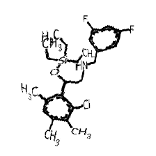 CC[Si](CC)(CC)OC(CNCc1cc(F)cc(F)c1)c1c(C)cc(C)c(C)c1Cl